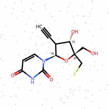 C#CC1[C@H](n2ccc(=O)[nH]c2=O)O[C@@](CO)(CF)[C@H]1O